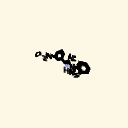 CC(=O)/C(=C\c1cccc([N+](=O)[O-])c1)N1NSc2ccccc21